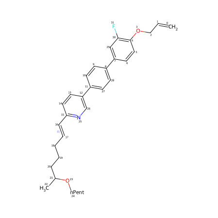 C=CCOc1ccc(-c2ccc(-c3ccc(/C=C/CCCC(C)OCCCCC)nc3)cc2)cc1F